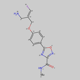 CC(C)(C)NC(=O)c1noc(-c2ccc(OC/C(=C/I)CN)cc2)n1